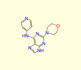 c1cc(Nc2nc(N3CCOCC3)nc3[nH]cnc23)ccn1